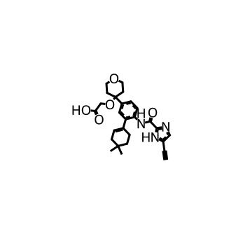 C#Cc1cnc(C(=O)Nc2ccc(C3(OCC(=O)O)CCOCC3)cc2C2=CCC(C)(C)CC2)[nH]1